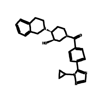 O=C(c1ccc(-c2ncnn2C2CC2)cc1)N1CC[C@@H](N2CCc3ccccc3C2)[C@H](O)C1